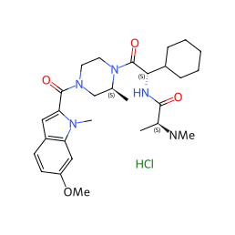 CN[C@@H](C)C(=O)N[C@H](C(=O)N1CCN(C(=O)c2cc3ccc(OC)cc3n2C)C[C@@H]1C)C1CCCCC1.Cl